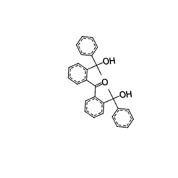 CC(O)(c1ccccc1)c1ccccc1C(=O)c1ccccc1C(C)(O)c1ccccc1